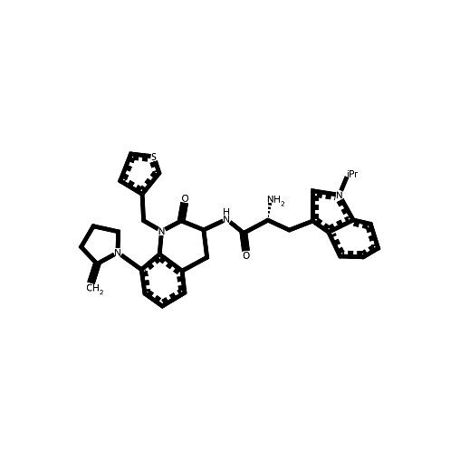 C=C1CCCN1c1cccc2c1N(Cc1ccsc1)C(=O)C(NC(=O)[C@H](N)Cc1cn(C(C)C)c3ccccc13)C2